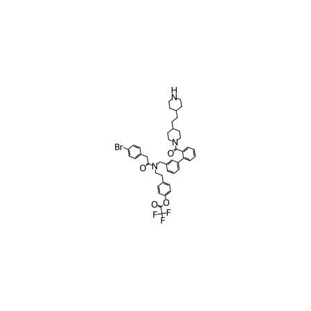 O=C(Cc1ccc(Br)cc1)N(CCc1ccc(OC(=O)C(F)(F)F)cc1)Cc1cccc(-c2ccccc2C(=O)N2CCC(CCC3CCNCC3)CC2)c1